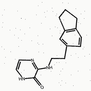 O=c1[nH]ccnc1NCCc1ccc2c(c1)CCC2